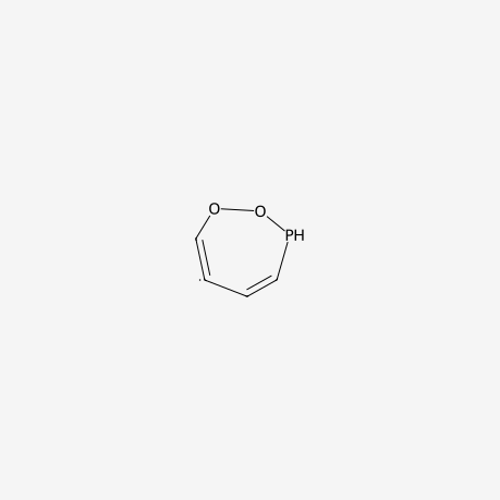 [c]1cc[pH]ooc1